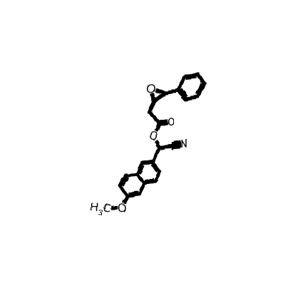 COc1ccc2cc(C(C#N)OC(=O)CC3OC3c3ccccc3)ccc2c1